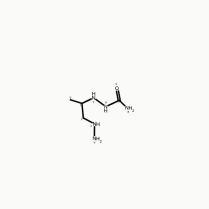 CC(CNN)NNC(N)=O